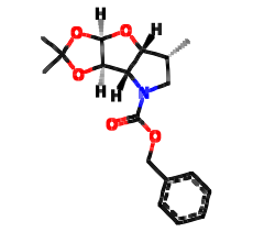 C[C@@H]1CN(C(=O)OCc2ccccc2)[C@@H]2[C@H]3OC(C)(C)O[C@H]3O[C@@H]21